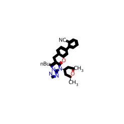 CCCCc1c(Cc2ccc(-c3ccccc3C#N)cc2)c(=O)n([C@H]2C[C@@H](C)O[C@@H](C)C2)c2ncnn12